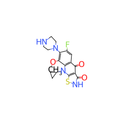 COc1c(N2CCNCC2)c(F)cc2c(=O)c3c(=O)[nH]sc3n(C3CC3)c12